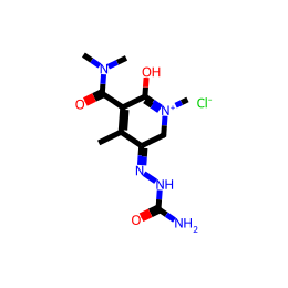 CC1=C(C(=O)N(C)C)C(O)=[N+](C)CC1=NNC(N)=O.[Cl-]